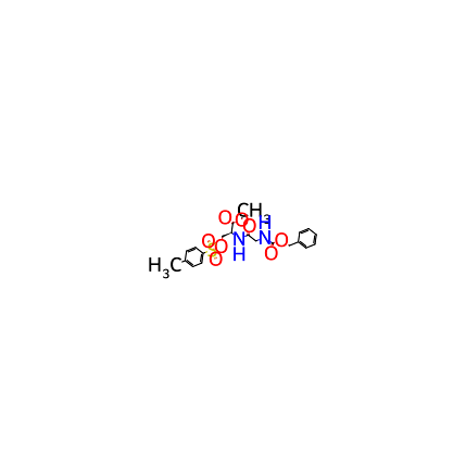 COC(=O)[C@H](COS(=O)(=O)c1ccc(C)cc1)NC(=O)CNC(=O)OCc1ccccc1